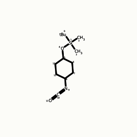 CC(C)(C)[Si](C)(C)OC1CCC(N=C=O)CC1